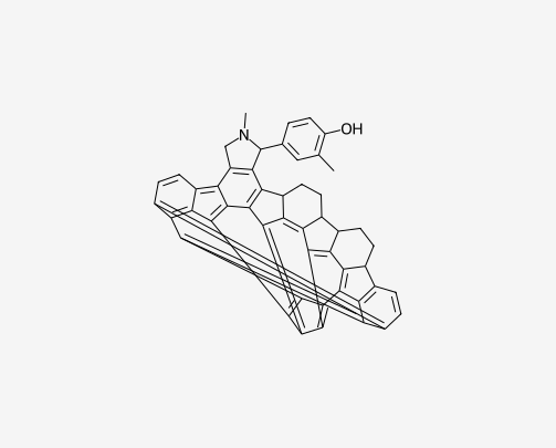 Cc1cc(C2c3c(c4c5ccc6c7ccc8c9c%10c%11c%12c%13c%14c%15c%16c(c3C%15CCC%14C%12CCC8%11)c4c3c5c6c(c79)c4c%10c%13c%16c34)CN2C)ccc1O